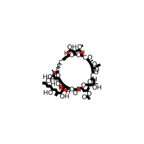 C=C(Cl)/C=C/[C@@H](O)CC(=C)[C@@H](O)[C@@H]1C[C@@H]2OC(=O)C[C@H]3C[C@H](OC(C)=O)C[C@@]4(C[C@@](C)(O)C[C@H](CC(=O)C(C)C(OC(C)=O)[C@H](C)C(=O)C[C@@H]5C[C@H](OC)C[C@@]6(C[C@@H](O)C[C@H](/C=C\CCC[C@H]7O[C@](O)(C[C@H](O)[C@H]7C)[C@@H](O)[C@H](O1)[C@@H]2C)O6)O5)O4)O3